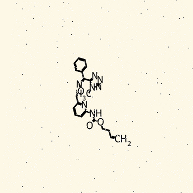 C=CCCOC(=O)Nc1cccc(CON=C(c2ccccc2)c2nnnn2C)n1